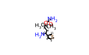 CC(C)(CCC(N)c1ccsc1)OC(N)=O